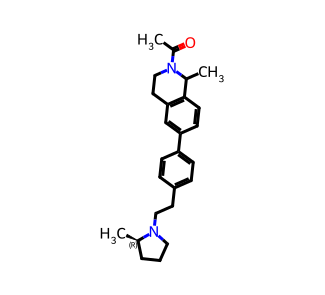 CC(=O)N1CCc2cc(-c3ccc(CCN4CCC[C@H]4C)cc3)ccc2C1C